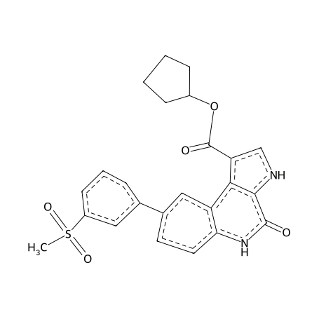 CS(=O)(=O)c1cccc(-c2ccc3[nH]c(=O)c4[nH]cc(C(=O)OC5CCCC5)c4c3c2)c1